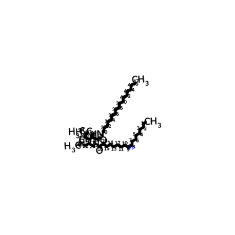 CCCCCCCC/C=C\CCCCCCCC(=O)N(CCCN(C)C)C(C(=O)NCCCCCCCCCCCCCCCCCC)C(CC)CCCC